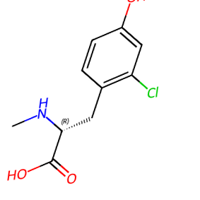 CN[C@H](Cc1ccc(O)cc1Cl)C(=O)O